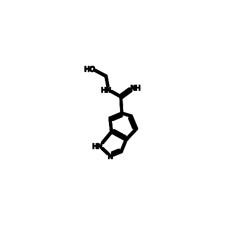 N=C(NCO)c1ccc2cn[nH]c2c1